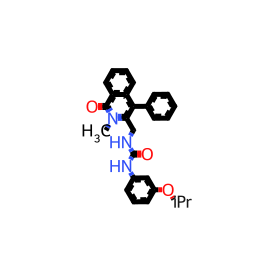 CC(C)Oc1cccc(NC(=O)NCc2c(-c3ccccc3)c3ccccc3c(=O)n2C)c1